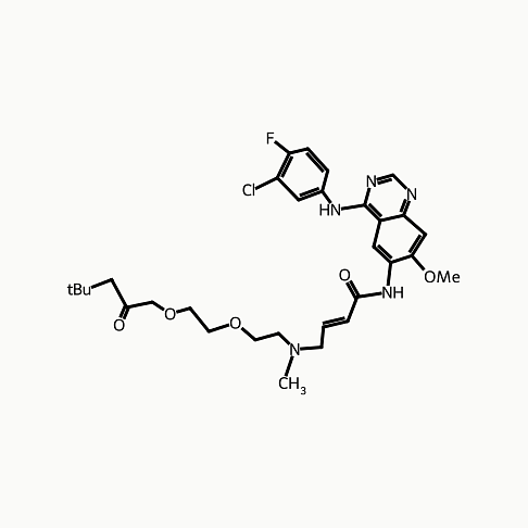 COc1cc2ncnc(Nc3ccc(F)c(Cl)c3)c2cc1NC(=O)/C=C/CN(C)CCOCCOCC(=O)CC(C)(C)C